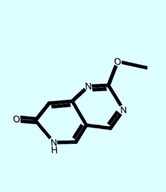 COc1ncc2c[nH]c(=O)cc2n1